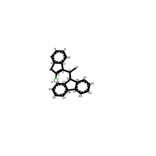 C[C](C1=C(Cl)Cc2ccccc21)C1c2ccccc2-c2ccccc21